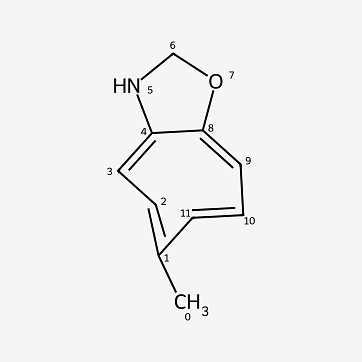 CC1=C\C=C2\NCO\C2=C\C=C\1